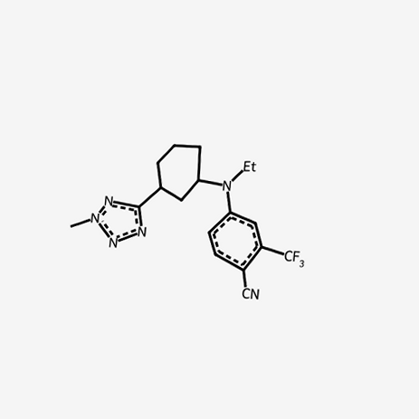 CCN(c1ccc(C#N)c(C(F)(F)F)c1)C1CCCC(c2nnn(C)n2)C1